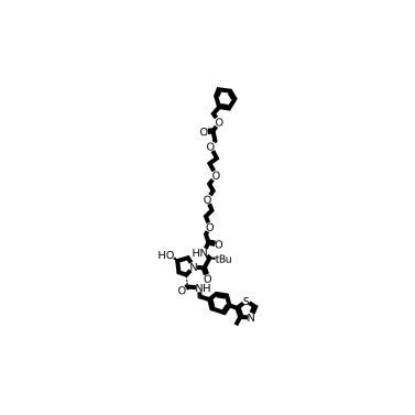 Cc1ncsc1-c1ccc(CNC(=O)[C@@H]2C[C@@H](O)CN2C(=O)[C@@H](NC(=O)COCCOCCOCCOCC(=O)OCc2ccccc2)C(C)(C)C)cc1